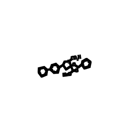 COC(=O)C1(OCc2ccccc2)CC(c2ccc(-c3ccccc3)cc2)CN1C(=O)O